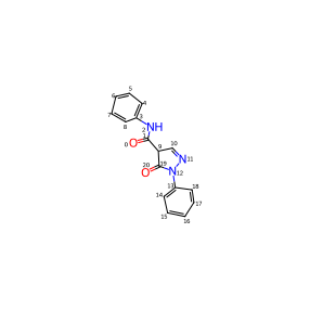 O=C(Nc1ccccc1)C1C=NN(c2ccccc2)C1=O